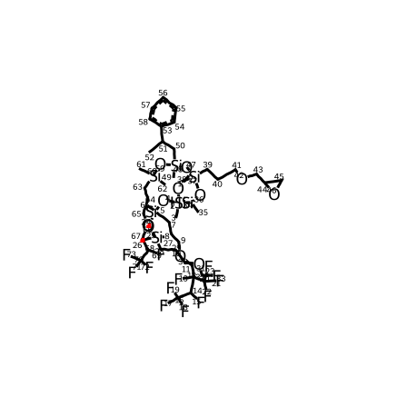 CO[Si](C)(O[Si](C)(CCCOCC(F)(C(F)C(F)(F)F)C(F)(F)F)O[Si](C)(C)CCCOCF)[SiH](C)O[Si](C)(CCCOCC1CO1)O[Si](C)(CC(C)c1ccccc1)O[Si](C)(C)CCCOCC(F)C(F)(F)F